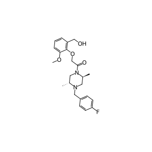 COc1cccc(CO)c1OCC(=O)N1C[C@@H](C)N(Cc2ccc(F)cc2)C[C@@H]1C